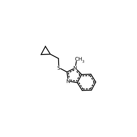 Cn1c(SCC2CC2)nc2ccccc21